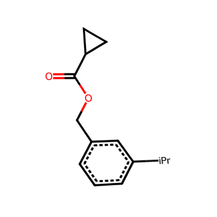 CC(C)c1cccc(COC(=O)C2CC2)c1